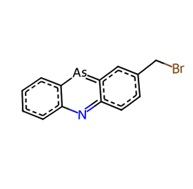 BrCc1ccc2c(c1)=[As]c1ccccc1N=2